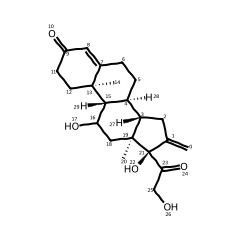 C=C1C[C@H]2[C@@H]3CCC4=CC(=O)CC[C@]4(C)[C@H]3C(O)C[C@]2(C)[C@@]1(O)C(=O)CO